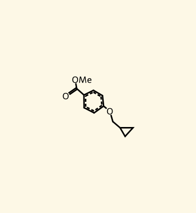 COC(=O)c1ccc(OCC2CC2)cc1